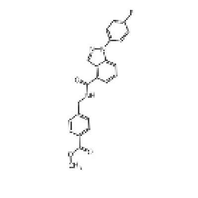 COC(=O)c1ccc(CNC(=O)c2cccc3c2cnn3-c2ccc(F)cc2)cc1